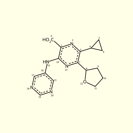 O=C(O)c1nc(C2CC2)c(C2CCCO2)nc1Nc1cncnc1